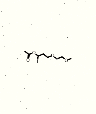 COCCOCCC(I)OC(C)=O